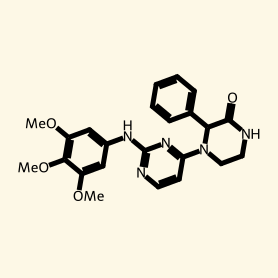 COc1cc(Nc2nccc(N3CCNC(=O)C3c3ccccc3)n2)cc(OC)c1OC